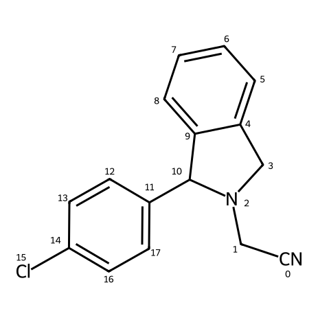 N#CCN1Cc2ccccc2C1c1ccc(Cl)cc1